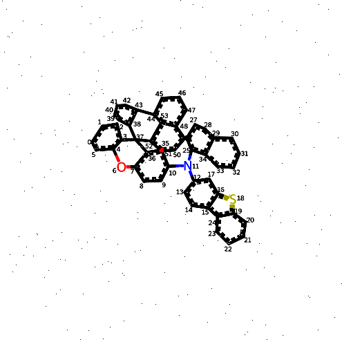 c1ccc2c(c1)Oc1ccc(N(c3ccc4c(c3)sc3ccccc34)c3cccc4ccccc34)cc1C21c2ccccc2-c2cccc3cccc1c23